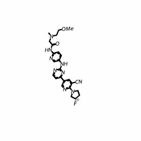 COCCN(C)CC(=O)Nc1ccc(Nc2nccc(-c3cnc(N4CC[C@H](F)C4)c(C#N)c3)n2)cn1